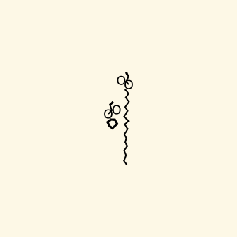 C=CC(=O)OCCCCCCCCCCCCCCCCCC.C=CC(=O)Oc1ccccc1